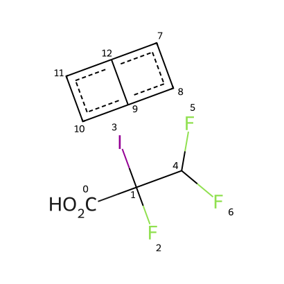 O=C(O)C(F)(I)C(F)F.c1cc2ccc1-2